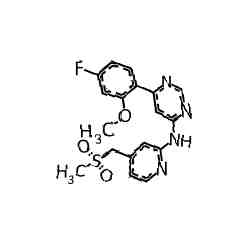 COc1cc(F)ccc1-c1cc(Nc2cc(CS(C)(=O)=O)ccn2)ncn1